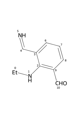 CCNc1c(C=N)cccc1C=O